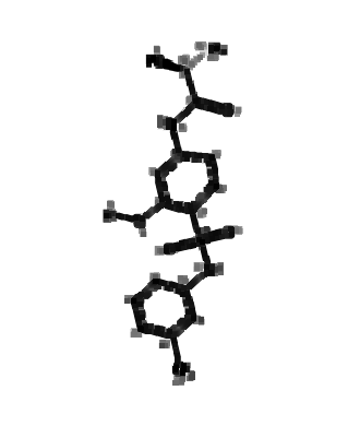 CCOc1cc(NC(=O)[C@@H](O)[C@@H](C)CC)ccc1S(=O)(=O)Nc1cccc(C(F)(F)F)c1